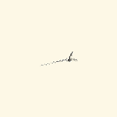 CCCCCCCCCCCCCCCCCCn1cc[n+](CCCC)c1CCCCC